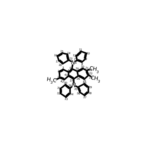 Cc1ccc2c(N(c3ccccc3)c3ccccc3)c3cc(C)c(C)cc3c(N(c3ccccc3)c3ccccc3)c2c1